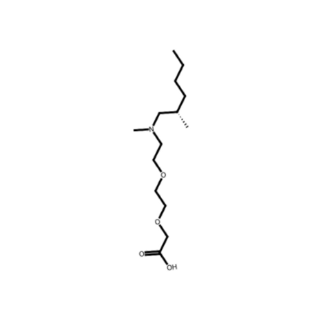 CCCC[C@H](C)CN(C)CCOCCOCC(=O)O